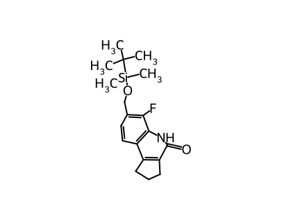 CC(C)(C)[Si](C)(C)OCc1ccc2c3c(c(=O)[nH]c2c1F)CCC3